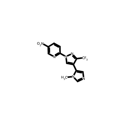 Cn1cncc1-c1cn(-c2ccc([N+](=O)[O-])cn2)nc1C(F)(F)F